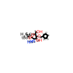 CC(C)(C)[Si](C)(C)OC1OC(CO)[C@@H](OCc2ccccc2)[C@H](O)C1N=[N+]=[N-]